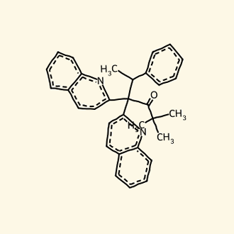 CC(c1ccccc1)C(C(=O)C(C)(C)C)(c1ccc2ccccc2n1)c1ccc2ccccc2n1